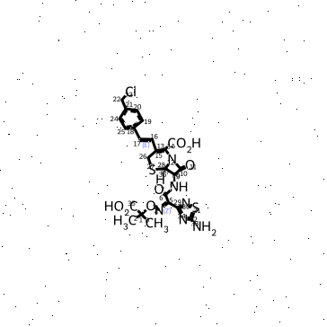 CC(C)(O/N=C(\C(=O)N[C@@H]1C(=O)N2C(C(=O)O)=C(/C=C/c3ccc(CCl)cc3)CS[C@H]12)c1nsc(N)n1)C(=O)O